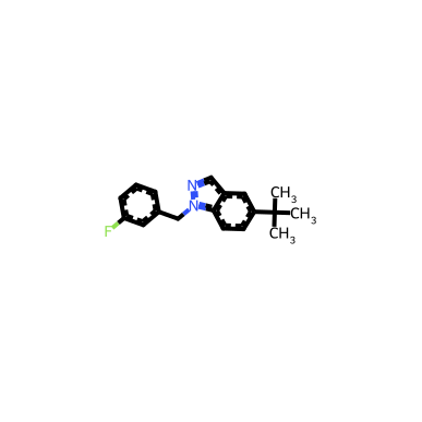 CC(C)(C)c1ccc2c(cnn2Cc2cccc(F)c2)c1